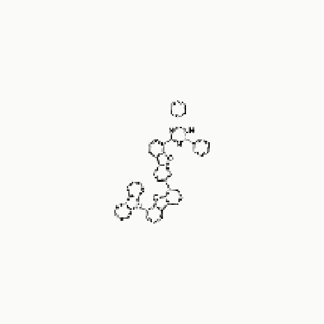 c1ccc(C2=NC(c3cccc4c3oc3cc(-c5cccc6c5oc5c(-n7c8ccccc8c8ccccc87)cccc56)ccc34)=NC(c3ccccc3)N2)cc1